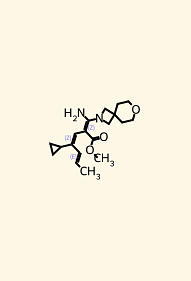 C/C=C/C(=C\C(C(=O)OC)=C(/N)N1CC2(CCOCC2)C1)C1CC1